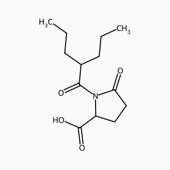 CCCC(CCC)C(=O)N1C(=O)CCC1C(=O)O